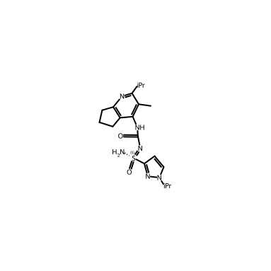 Cc1c(C(C)C)nc2c(c1NC(=O)N=[S@](N)(=O)c1ccn(C(C)C)n1)CCC2